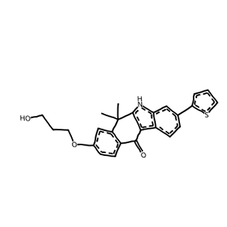 CC1(C)c2cc(OCCCO)ccc2C(=O)c2c1[nH]c1cc(-c3cccs3)ccc21